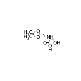 CC1(C)COC(CCN[C@@H](CO)C(=O)O)OC1